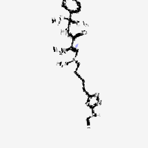 CC(C)(NC(=O)/C(N)=C/N(N)CCCCc1nnc(NC=O)s1)c1ccccc1